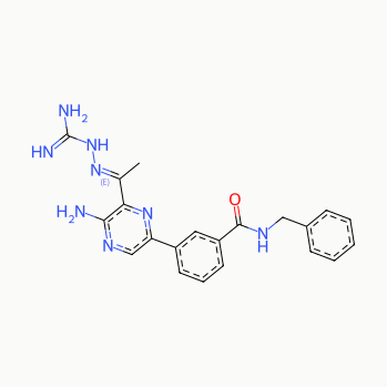 C/C(=N\NC(=N)N)c1nc(-c2cccc(C(=O)NCc3ccccc3)c2)cnc1N